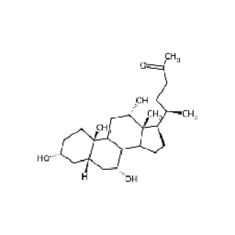 CC(=O)CC[C@@H](C)[C@H]1CCC2C3C(C[C@H](O)[C@@]21C)[C@@]1(C)CC[C@@H](O)C[C@H]1C[C@H]3O